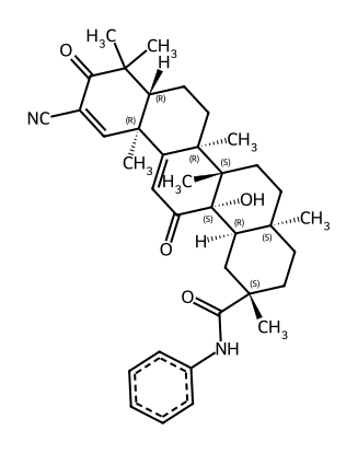 CC1(C)C(=O)C(C#N)=C[C@]2(C)C3=CC(=O)[C@]4(O)[C@@H]5C[C@@](C)(C(=O)Nc6ccccc6)CC[C@]5(C)CC[C@@]4(C)[C@]3(C)CC[C@@H]12